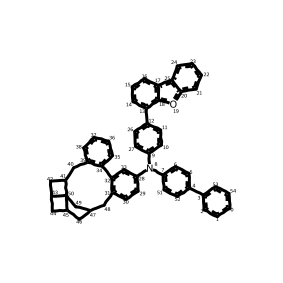 c1ccc(-c2ccc(N(c3ccc(-c4cccc5c4oc4ccccc45)cc3)c3ccc4c(c3)-c3ccccc3CC3CC5CC6CC(C4)CC365)cc2)cc1